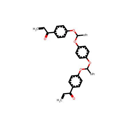 C=CC(=O)c1ccc(OC(CCC)Oc2ccc(OC(CCC)Oc3ccc(C(=O)C=C)cc3)cc2)cc1